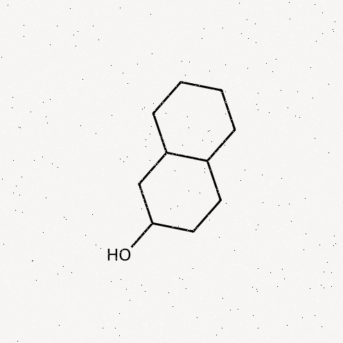 OC1CCC2CCCCC2C1